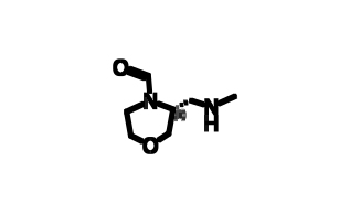 CNC[C@@H]1COCCN1C=O